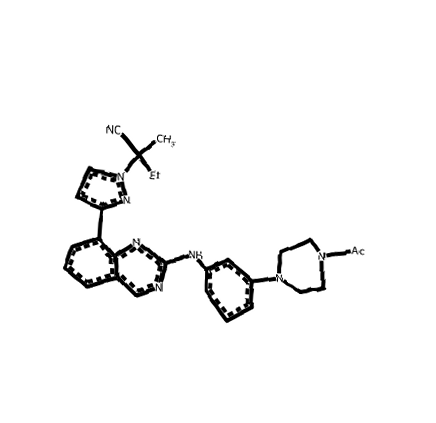 CCC(C)(C#N)n1ccc(-c2cccc3cnc(Nc4cccc(N5CCN(C(C)=O)CC5)c4)nc23)n1